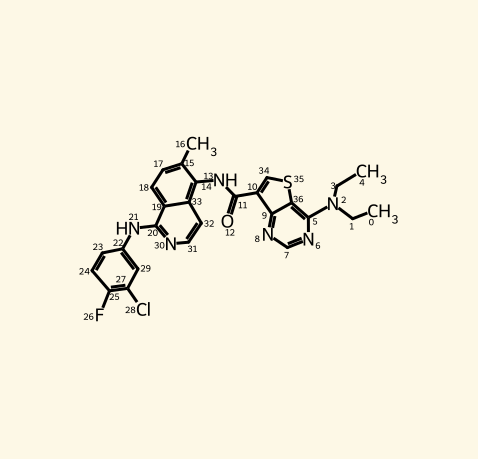 CCN(CC)c1ncnc2c(C(=O)Nc3c(C)ccc4c(Nc5ccc(F)c(Cl)c5)nccc34)csc12